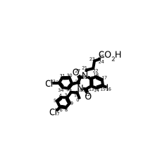 CC(Cc1ccc(Cl)cc1)N1C(=O)c2cc(I)ccc2N(CCCCC(=O)O)C(=O)C1c1ccc(Cl)cc1